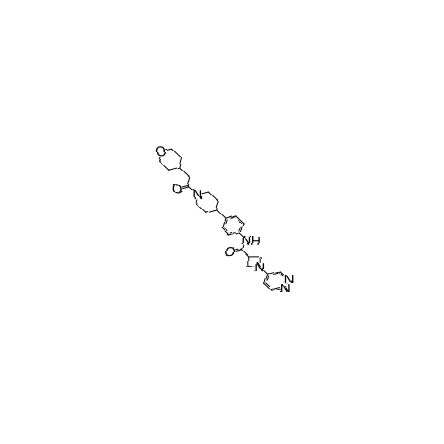 O=C(Nc1ccc(C2CCN(C(=O)CC3CCOCC3)CC2)cc1)C1CN(c2ccnnc2)C1